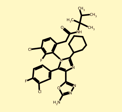 CC(C)C(C)(C)NC(=O)Cc1ccc(Cl)c(F)c1-n1c(C2CCCCC2)nc(-c2nnc(N)o2)c1-c1ccc(F)c(Cl)c1